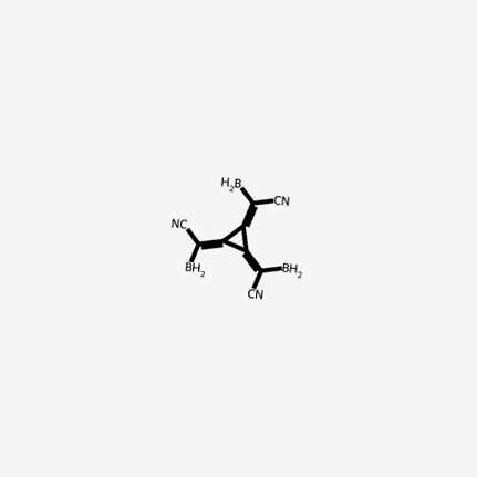 BC(C#N)=C1C(=C(B)C#N)C1=C(B)C#N